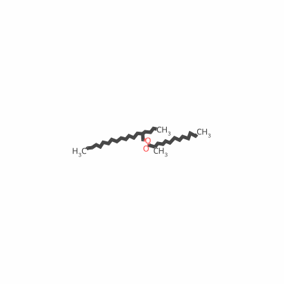 CCCCCCCCCCCCCCC(CCCC)COC(=O)C(C)CCCCCCCCCCC